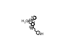 CN(C)Cc1c(Oc2ccccn2)ccc2c(CCC3CCNCC3)noc12